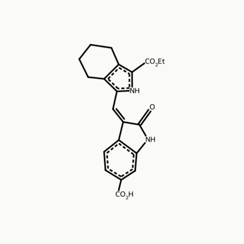 CCOC(=O)c1[nH]c(C=C2C(=O)Nc3cc(C(=O)O)ccc32)c2c1CCCC2